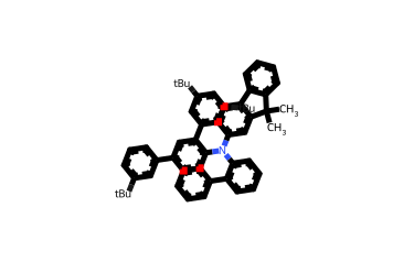 CC(C)(C)c1cccc(-c2ccc(N(c3ccc4c(c3)C(C)(C)c3ccccc3-4)c3ccccc3-c3ccccc3)c(-c3cc(C(C)(C)C)cc(C(C)(C)C)c3)c2)c1